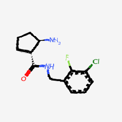 N[C@@H]1CCC[C@H]1C(=O)NCc1cccc(Cl)c1F